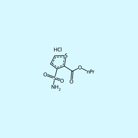 CCCOC(=O)c1sccc1S(N)(=O)=O.Cl